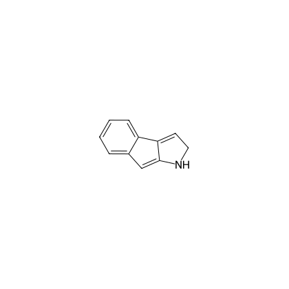 C1=C2NCC=C2c2ccccc21